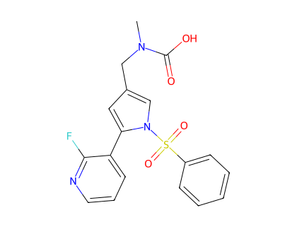 CN(Cc1cc(-c2cccnc2F)n(S(=O)(=O)c2ccccc2)c1)C(=O)O